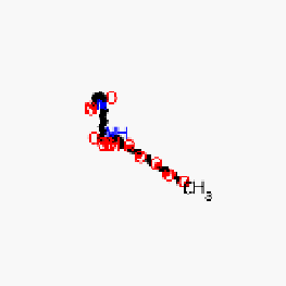 COCCOCCOCCOCCOCCC(=O)NC(CCCCN1C(=O)C=CC1=O)C(=O)O